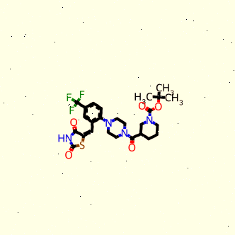 CC(C)(C)OC(=O)N1CCCC(C(=O)N2CCN(c3ccc(C(F)(F)F)cc3C=C3SC(=O)NC3=O)CC2)C1